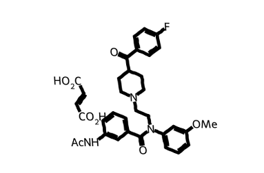 COc1cccc(N(CCN2CCC(C(=O)c3ccc(F)cc3)CC2)C(=O)c2cccc(NC(C)=O)c2)c1.O=C(O)/C=C/C(=O)O